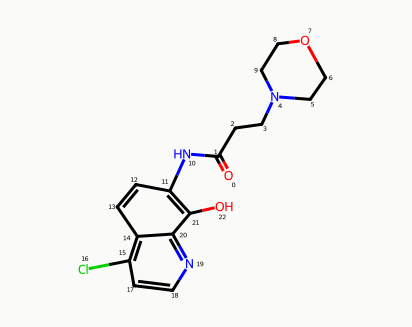 O=C(CCN1CCOCC1)Nc1ccc2c(Cl)ccnc2c1O